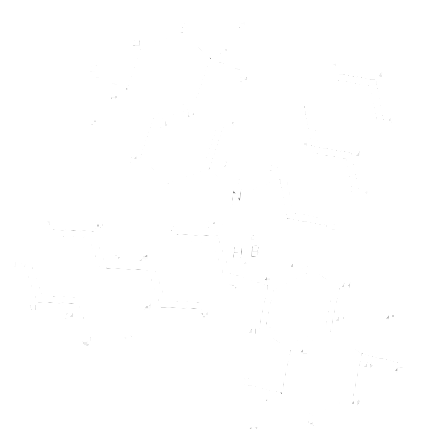 Bc1c2cc3ccccc3c1N(C1=CC3=C(CC1)C(C)(C)CCC3(C)C)c1cc(-c3ccccc3C)c(C)cc1-c1cc3c(cc1-2)C(C)(C)CCC3(C)C